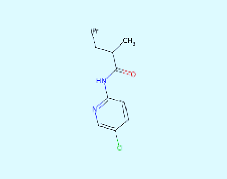 CC(C)CC(C)C(=O)Nc1ccc(Cl)cn1